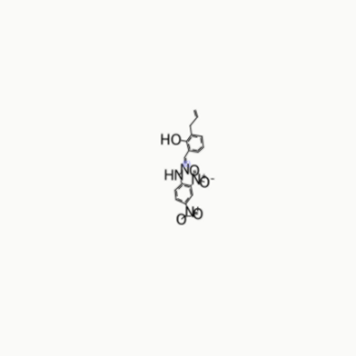 C=CCc1cccc(/C=N/Nc2ccc([N+](=O)[O-])cc2[N+](=O)[O-])c1O